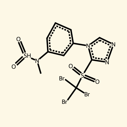 CN(c1cccc(-n2cnnc2S(=O)(=O)C(Br)(Br)Br)c1)[SH](=O)=O